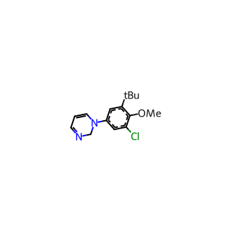 COc1c(Cl)cc(N2C=CC=NC2)cc1C(C)(C)C